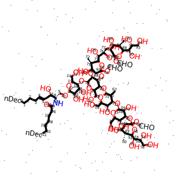 CCCCCCCCCCCCC/C=C/[C@@H](O)[C@H](CO[C@@H]1OC(CO)[C@@H](O[C@@H]2OC(CO)[C@H](O[C@@H]3OC(CO)[C@H](O)[C@H](O[C@@H]4OC(CO)[C@H](O)[C@H](O[C@]5(OC=O)C[C@@H](O)[C@@H](C)C([C@H](O)[C@H](O)CO)O5)C4O)C3C)[C@H](O[C@]3(OC=O)C[C@@H](O)[C@@H](C)C([C@H](O)[C@@H](CO)O[C@]4(OC=O)C[C@@H](O)[C@@H](C)C([C@H](O)[C@H](O)CO)O4)O3)C2O)[C@H](O)C1O)NC(=O)CCCCCCCCCCCCCCC